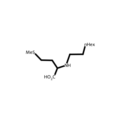 CCCCCCCCNC(CCSC)C(=O)O